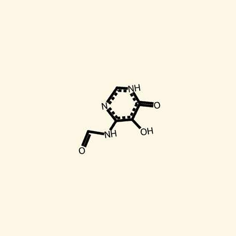 O=CNc1nc[nH]c(=O)c1O